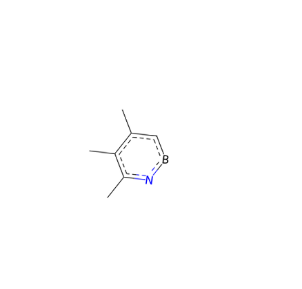 Cc1cbnc(C)c1C